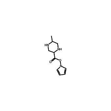 CC1CNC(C(=O)On2cccc2)CN1